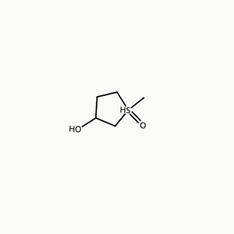 C[SH]1(=O)CCC(O)C1